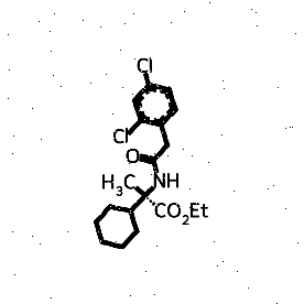 CCOC(=O)[C@](C)(NC(=O)Cc1ccc(Cl)cc1Cl)C1CCCCC1